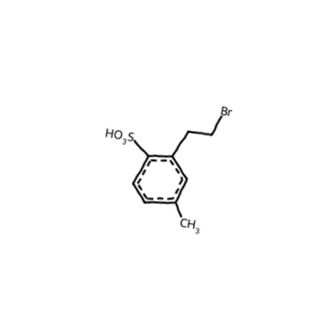 Cc1ccc(S(=O)(=O)O)c(CCBr)c1